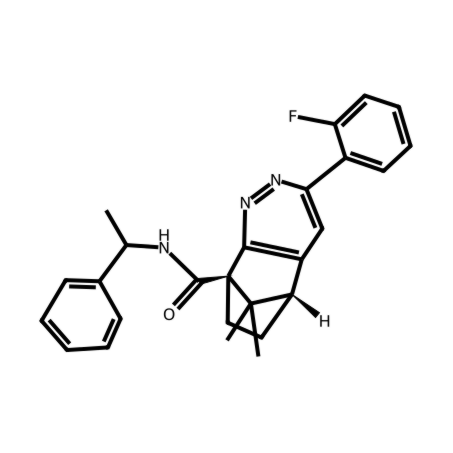 CC(NC(=O)[C@@]12CC[C@@H](c3cc(-c4ccccc4F)nnc31)C2(C)C)c1ccccc1